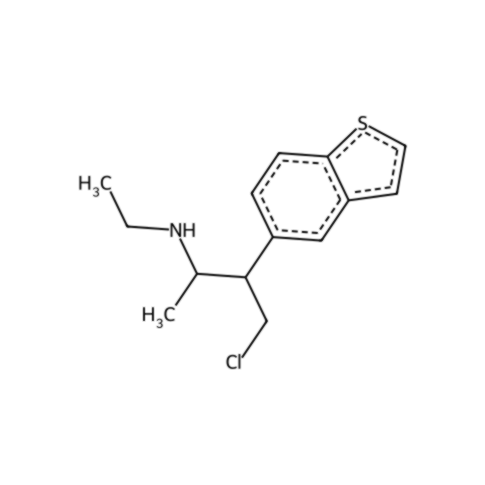 CCNC(C)C(CCl)c1ccc2sccc2c1